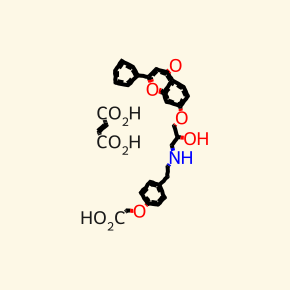 O=C(O)C=CC(=O)O.O=C(O)COc1ccc(CCNCC(O)COc2ccc3c(=O)cc(-c4ccccc4)oc3c2)cc1